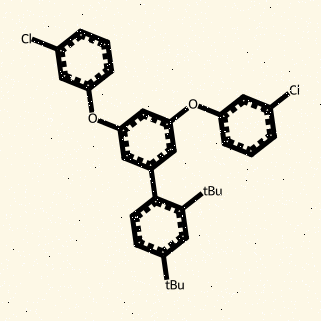 CC(C)(C)c1ccc(-c2cc(Oc3cccc(Cl)c3)cc(Oc3cccc(Cl)c3)c2)c(C(C)(C)C)c1